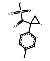 Cc1ccc(C2(C(=O)S(C)(=O)=O)CC2)cc1